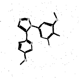 COc1ccc(-c2cnnn2-c2cc(C)c(C)c(OC)c2)nc1